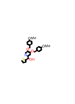 COc1ccc(COc2cnc(C(O)c3cccs3)cc2OCc2ccc(OC)cc2)cc1